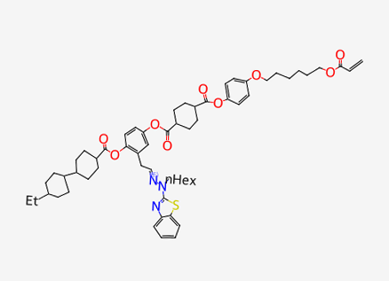 C=CC(=O)OCCCCCCOc1ccc(OC(=O)C2CCC(C(=O)Oc3ccc(OC(=O)C4CCC(C5CCC(CC)CC5)CC4)c(C/C=N/N(CCCCCC)c4nc5ccccc5s4)c3)CC2)cc1